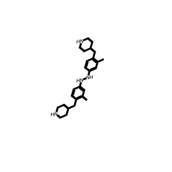 Cc1cc(NNc2ccc(CC3CCNCC3)c(C)c2)ccc1CC1CCNCC1